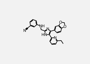 CCc1cccc(-c2[nH]c(CNc3cccc(C#N)c3)nc2-c2ccc3c(c2)OCO3)n1